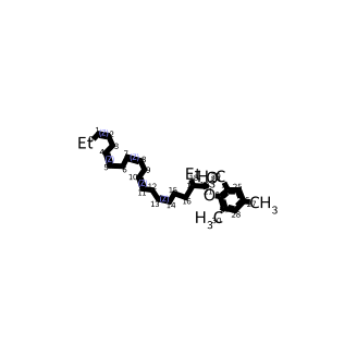 CC/C=C\C/C=C\C/C=C\C/C=C\C/C=C\CCC(CC)C(=O)Oc1c(C)cc(C)cc1C